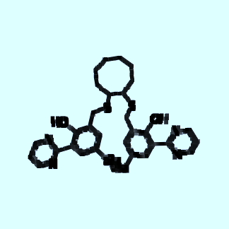 CC(C)(C)c1cc(CSC2CCCCCCC2SCc2cc(C(C)(C)C)cc(-c3ncccn3)c2O)c(O)c(-c2ncccn2)c1